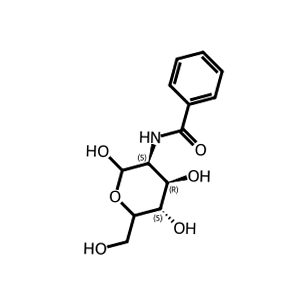 O=C(N[C@@H]1C(O)OC(CO)[C@@H](O)[C@@H]1O)c1ccccc1